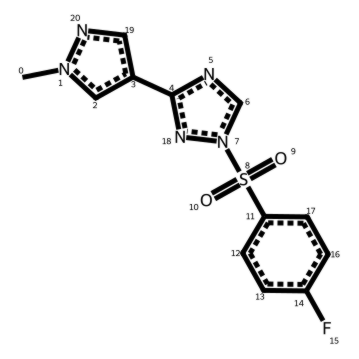 Cn1cc(-c2ncn(S(=O)(=O)c3ccc(F)cc3)n2)cn1